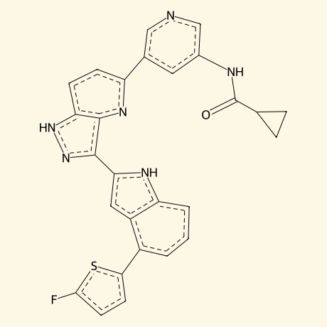 O=C(Nc1cncc(-c2ccc3[nH]nc(-c4cc5c(-c6ccc(F)s6)cccc5[nH]4)c3n2)c1)C1CC1